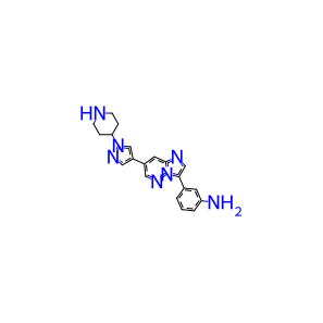 Nc1cccc(-c2cnc3cc(-c4cnn(C5CCNCC5)c4)cnn23)c1